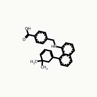 CC1(C)C=CC=C(c2cccc3cccc(NCc4ccc(C(=O)O)cc4)c23)C1